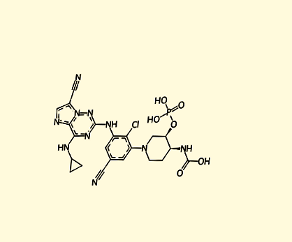 N#Cc1cc(Nc2nc(NC3CC3)c3ncc(C#N)n3n2)c(Cl)c(N2CC[C@H](NC(=O)O)[C@H](OP(=O)(O)O)C2)c1